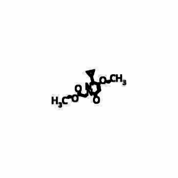 CCOC(=O)Cn1nc(C2CC2)c(OCC)cc1=O